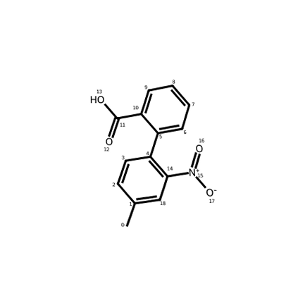 Cc1ccc(-c2ccccc2C(=O)O)c([N+](=O)[O-])c1